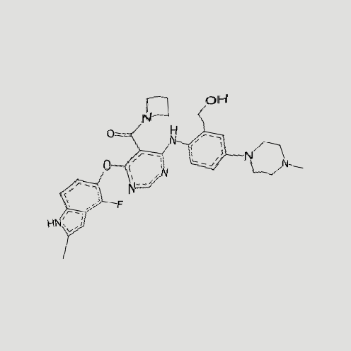 Cc1cc2c(F)c(Oc3ncnc(Nc4ccc(N5CCN(C)CC5)cc4CO)c3C(=O)N3CCC3)ccc2[nH]1